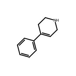 [c]1cccc(C2=CCNCC2)c1